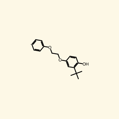 CC(C)(C)c1cc(OCCOc2cc[c]cc2)ccc1O